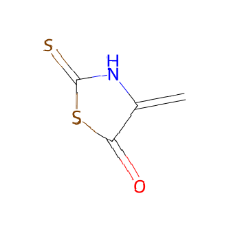 C=C1NC(=S)SC1=O